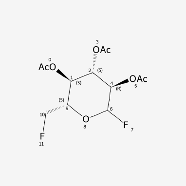 CC(=O)O[C@H]1[C@H](OC(C)=O)[C@@H](OC(C)=O)C(F)O[C@@H]1CF